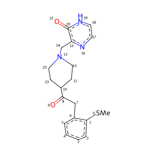 CSc1ccccc1CC(=O)C1CCN(Cc2ncc[nH]c2=O)CC1